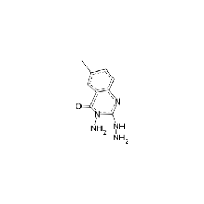 Cc1ccc2nc(NN)n(N)c(=O)c2c1